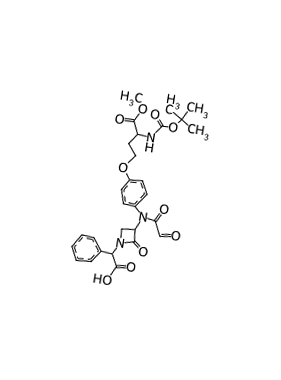 COC(=O)C(CCOc1ccc(N(C(=O)C=O)C2CN(C(C(=O)O)c3ccccc3)C2=O)cc1)NC(=O)OC(C)(C)C